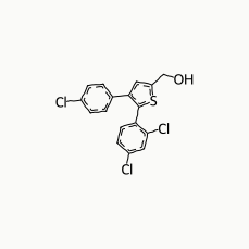 OCc1cc(-c2ccc(Cl)cc2)c(-c2ccc(Cl)cc2Cl)s1